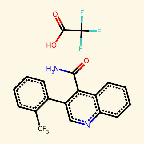 NC(=O)c1c(-c2ccccc2C(F)(F)F)cnc2ccccc12.O=C(O)C(F)(F)F